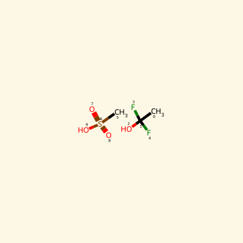 CC(O)(F)F.CS(=O)(=O)O